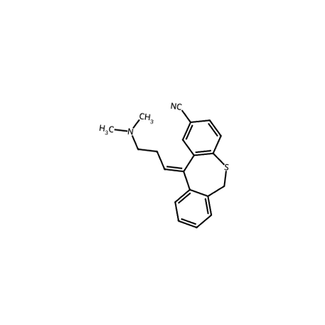 CN(C)CCC=C1c2ccccc2CSc2ccc(C#N)cc21